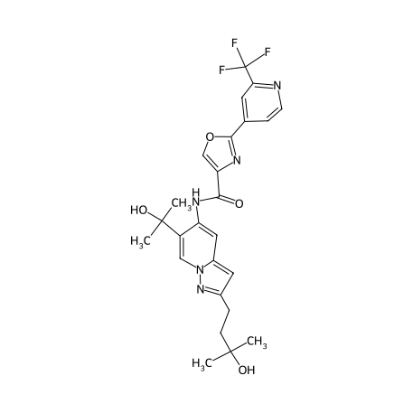 CC(C)(O)CCc1cc2cc(NC(=O)c3coc(-c4ccnc(C(F)(F)F)c4)n3)c(C(C)(C)O)cn2n1